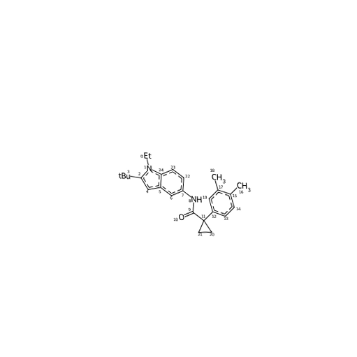 CCn1c(C(C)(C)C)cc2cc(NC(=O)C3(c4ccc(C)c(C)c4)CC3)ccc21